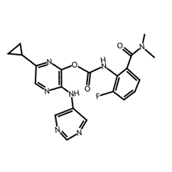 CN(C)C(=O)c1cccc(F)c1NC(=O)Oc1nc(C2CC2)cnc1Nc1cncnc1